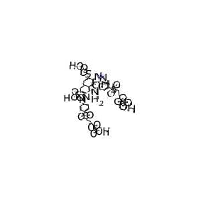 Nc1c(N=Nc2ccc(S(=O)(=O)CCOS(=O)(=O)O)cc2)c(S(=O)(=O)O)cc2cc(SOOO)c(/N=N\c3cccc(S(=O)(=O)CCOS(=O)(=O)O)c3)c(O)c12